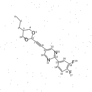 CCCC1COC(C#Cc2cnc(-c3ccc(F)c(F)c3)nc2)OC1